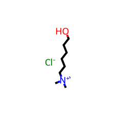 C[N+](C)(C)CCCCCCO.[Cl-]